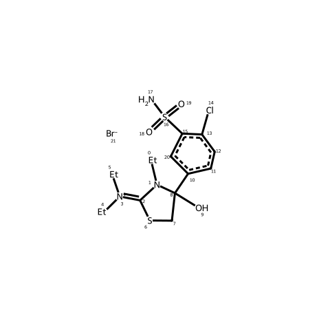 CCN1C(=[N+](CC)CC)SCC1(O)c1ccc(Cl)c(S(N)(=O)=O)c1.[Br-]